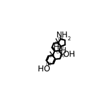 C[C@]12C=C[C@H](O)C=C1C[C@H](O)[C@@H]1C2=CC[C@]2(C)[C@@H](N)CC[C@@H]12